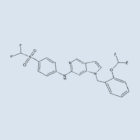 O=S(=O)(c1ccc(Nc2cc3c(ccn3Cc3ccccc3OC(F)F)cn2)cc1)C(F)F